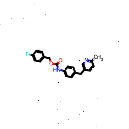 Cc1ccc(Cc2ccc(NC(=O)OCc3ccc(F)cc3)cc2)cn1